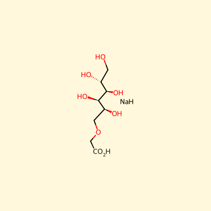 O=C(O)COC[C@H](O)[C@@H](O)[C@H](O)[C@H](O)CO.[NaH]